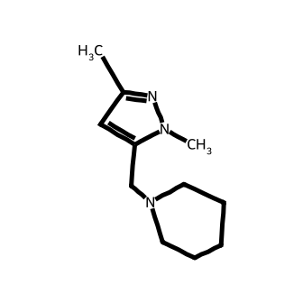 Cc1cc(CN2CCCCC2)n(C)n1